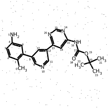 Cc1ccc(N)cc1-c1cncc(-c2cc(NC(=O)OC(C)(C)C)ncn2)c1